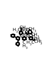 Cc1cc2c3c(c1)N(c1ccc(C(C)(C)C)cc1)c1c(oc4c1C(C)(C)CCC4(C)C)B3c1cc(C(C)(C)C)ccc1N2c1cc(-c2ccccc2)cc(-c2ccccc2)c1